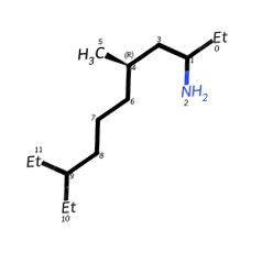 CCC(N)C[C@H](C)CCCC(CC)CC